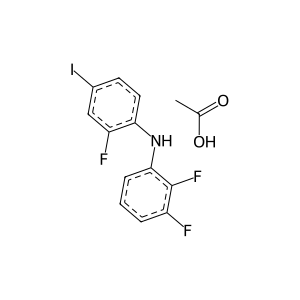 CC(=O)O.Fc1cc(I)ccc1Nc1cccc(F)c1F